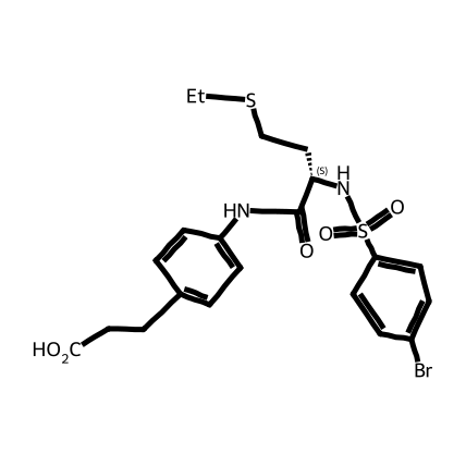 CCSCC[C@H](NS(=O)(=O)c1ccc(Br)cc1)C(=O)Nc1ccc(CCC(=O)O)cc1